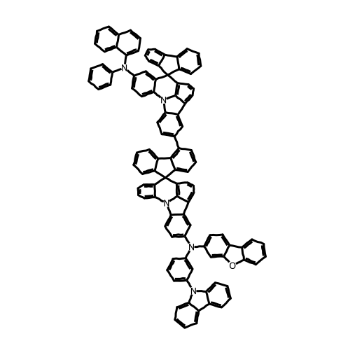 c1ccc(N(c2ccc3c(c2)C2(c4ccccc4-c4ccccc42)c2cccc4c5cc(-c6cccc7c6-c6ccccc6C76c7ccccc7-n7c8ccc(N(c9cccc(-n%10c%11ccccc%11c%11ccccc%11%10)c9)c9ccc%10c(c9)oc9ccccc9%10)cc8c8cccc6c87)ccc5n-3c24)c2cccc3ccccc23)cc1